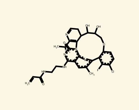 C=CC(=O)NCCNc1nc(=O)n2c3nc(c(C)cc13)-c1c(ccc(Cl)c1F)OCC(O)C(O)C1CC=NC(C(C)C)=C12